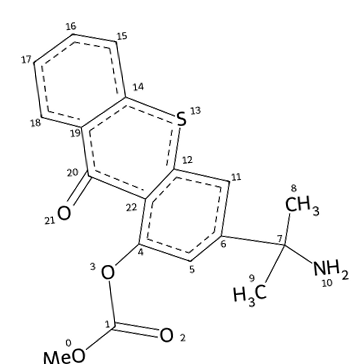 COC(=O)Oc1cc(C(C)(C)N)cc2sc3ccccc3c(=O)c12